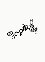 CC(C)(C)OC(=O)N1SNC=C1C(N)[C@H]1CN(c2ccc(C3=CCN(C(=O)[C@@H]4COC(C)(C)O4)CC3)c(F)c2)C(=O)O1